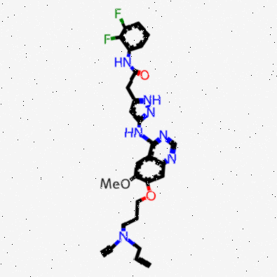 C#CN(CC=C)CCCOc1cc2ncnc(Nc3cc(CC(=O)Nc4cccc(F)c4F)[nH]n3)c2cc1OC